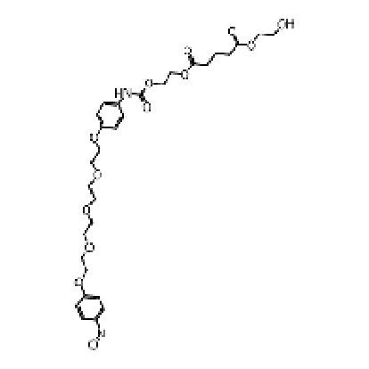 O=Nc1ccc(OCCOCCOCCOCCOc2ccc(NC(=O)OCCOC(=O)CCCC(=O)OCCO)cc2)cc1